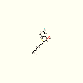 CCCCCCCC1CC(=O)c2cc(F)ccc2S1